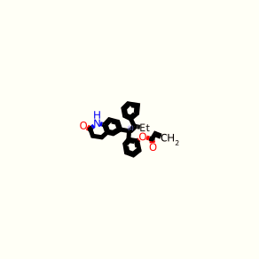 C=CC(=O)Oc1ccccc1/C(=C(\CC)c1ccccc1)c1ccc2c(c1)CCC(=O)N2